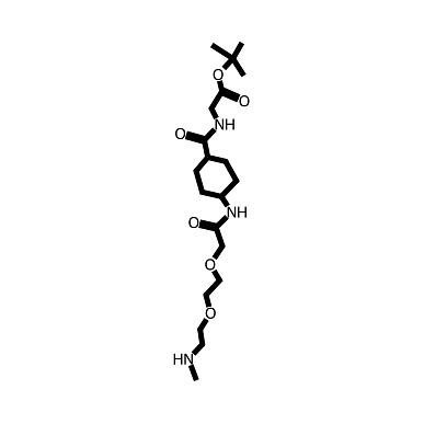 CNCCOCCOCC(=O)NC1CCC(C(=O)NCC(=O)OC(C)(C)C)CC1